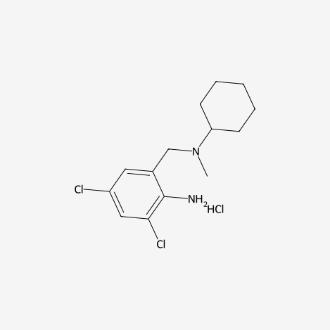 CN(Cc1cc(Cl)cc(Cl)c1N)C1CCCCC1.Cl